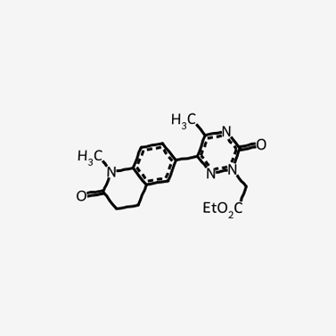 CCOC(=O)Cn1nc(-c2ccc3c(c2)CCC(=O)N3C)c(C)nc1=O